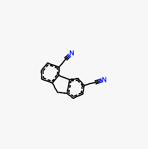 N#Cc1ccc2c(c1)-c1c(C#N)cccc1C2